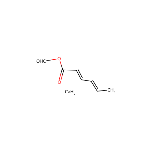 C/C=C/C=C/C(=O)OC=O.[CaH2]